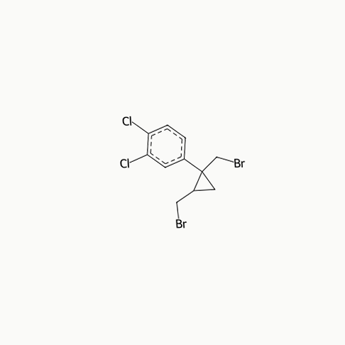 Clc1ccc(C2(CBr)CC2CBr)cc1Cl